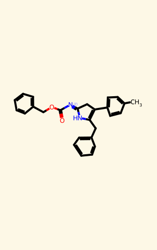 Cc1ccc(C2=C(Cc3ccccc3)N/C(=N\C(=O)OCc3ccccc3)C2)cc1